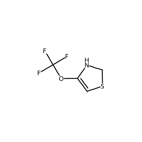 FC(F)(F)OC1=[C]SCN1